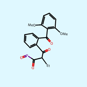 CCC(C(=O)P=O)C(=O)c1ccccc1C(=O)c1c(OC)cccc1OC